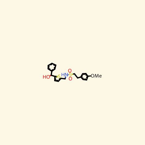 COc1ccc(CCS(=O)(=O)NCc2ccc(C(O)c3ccccc3)s2)cc1